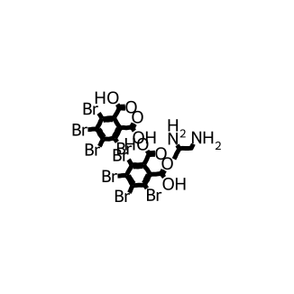 CC(N)CN.O=C(O)c1c(Br)c(Br)c(Br)c(Br)c1C(=O)O.O=C(O)c1c(Br)c(Br)c(Br)c(Br)c1C(=O)O